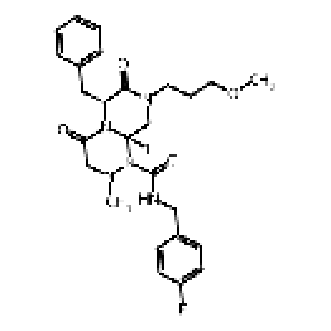 COCCCN1C[C@H]2N(C(=O)CN(C)N2C(=O)NCc2ccc(F)cc2)[C@@H](Cc2ccccc2)C1=O